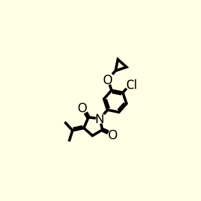 CC(C)=C1CC(=O)N(c2ccc(Cl)c(OC3CC3)c2)C1=O